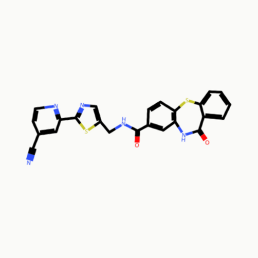 N#Cc1ccnc(-c2ncc(CNC(=O)c3ccc4c(c3)NC(=O)c3ccccc3S4)s2)c1